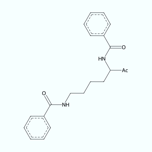 CC(=O)C(CCCCNC(=O)c1ccccc1)NC(=O)c1ccccc1